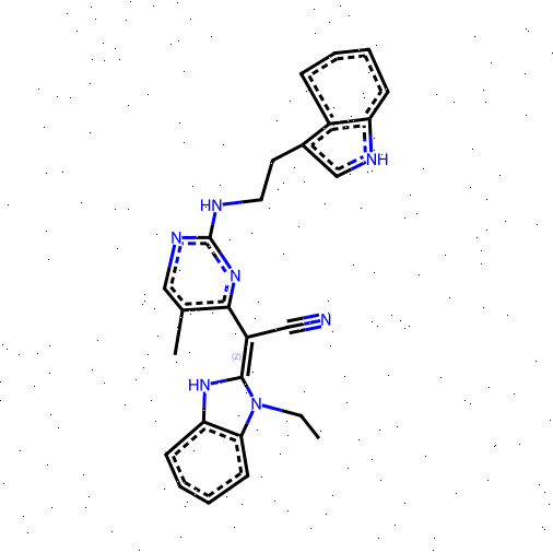 CCN1/C(=C(\C#N)c2nc(NCCc3c[nH]c4ccccc34)ncc2C)Nc2ccccc21